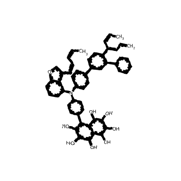 C=C/C=C(\C=C/C)c1ccc(-c2ccc(N(c3ccc(-c4c(O)c(O)c(O)c5c(O)c(O)c(O)c(O)c45)cc3)c3cccc4occ(/C=C\C=C/C)c34)cc2)cc1-c1ccccc1